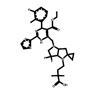 CCOC(=O)C1=C(CN2CC(F)(F)C3C2CC2(CC2)N3CCC(C)(C)C(=O)O)NC(c2nccs2)=NC1c1cccc(F)c1C